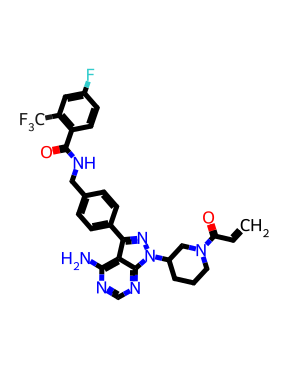 C=CC(=O)N1CCCC(n2nc(-c3ccc(CNC(=O)c4ccc(F)cc4C(F)(F)F)cc3)c3c(N)ncnc32)C1